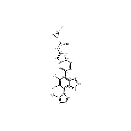 Cc1cccn1-c1c(F)c(Cl)c(-c2ccc3nc(NC(=O)[C@@H]4C[C@@H]4F)cn3c2)c2cn[nH]c12